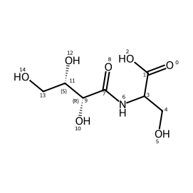 O=C(O)C(CO)NC(=O)[C@H](O)[C@@H](O)CO